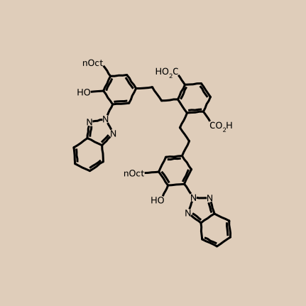 CCCCCCCCc1cc(CCc2c(C(=O)O)ccc(C(=O)O)c2CCc2cc(CCCCCCCC)c(O)c(-n3nc4ccccc4n3)c2)cc(-n2nc3ccccc3n2)c1O